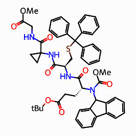 COC(=O)CNC(=O)C1(NC(=O)[C@@H](CSC(c2ccccc2)(c2ccccc2)c2ccccc2)NC(=O)[C@@H](CCC(=O)OC(C)(C)C)N(C(=O)OC)C2c3ccccc3-c3ccccc32)CC1